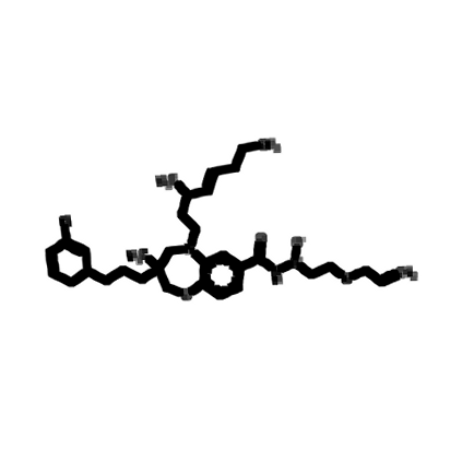 C=CCOCC[S+]([O-])NC(=O)c1ccc2c(c1)N(CCC(C)/C=C/CCC)CC(C)(CCCC1C=C(Cl)C=CC1)CO2